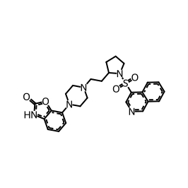 O=c1[nH]c2cccc(N3CCN(CCC4CCCN4S(=O)(=O)c4cncc5ccccc45)CC3)c2o1